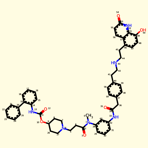 CN(C(=O)CCN1CCC(OC(=O)Nc2ccccc2-c2ccccc2)CC1)c1cccc(NC(=O)Cc2ccc(CCNCCc3ccc(O)c4[nH]c(=O)ccc34)cc2)c1